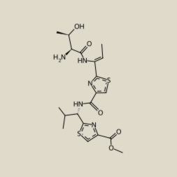 C/C=C(\NC(=O)[C@@H](N)[C@@H](C)O)c1nc(C(=O)N[C@H](c2nc(C(=O)OC)cs2)C(C)C)cs1